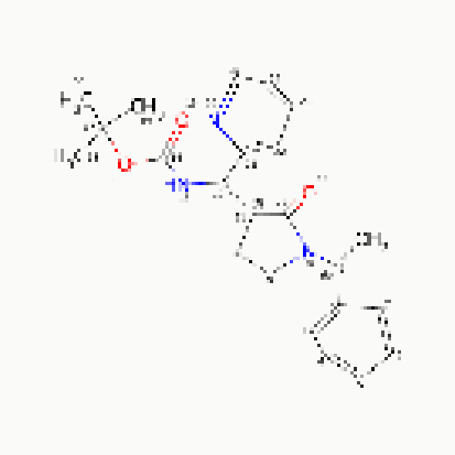 C[C@H](c1ccccc1)N1CC[C@H](C(NC(=O)OC(C)(C)C)c2ccccn2)C1=O